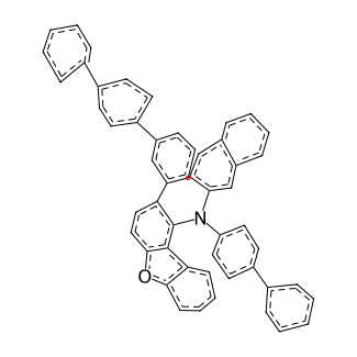 c1ccc(-c2ccc(-c3cccc(-c4ccc5oc6ccccc6c5c4N(c4ccc(-c5ccccc5)cc4)c4ccc5ccccc5c4)c3)cc2)cc1